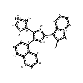 Cc1nn2ccccc2c1-c1nc(-c2cccc3ncccc23)c(-c2nc[nH]n2)s1